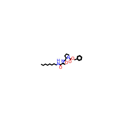 CCCCCCCCNC(=O)c1coc(C2CCCN2C(=O)OCc2ccccc2)n1